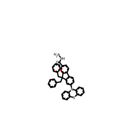 NNC(=O)c1ccc2c(c1)C(Cc1ccccc1)(Cc1ccccc1)c1cc(N3c4ccccc4Sc4ccccc43)ccc1-2